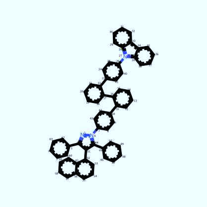 c1ccc(-c2nn(-c3ccc(-c4ccccc4-c4ccccc4-c4ccc(-n5c6ccccc6c6ccccc65)cc4)cc3)c(-c3ccccc3)c2-c2cccc3ccccc23)cc1